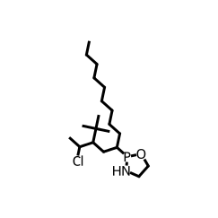 CCCCCCCCCC(CC(C(C)Cl)C(C)(C)C)P1NCCO1